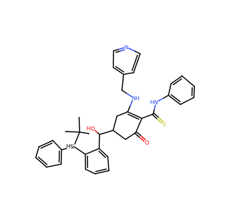 CC(C)(C)[SiH](c1ccccc1)c1ccccc1C(O)C1CC(=O)C(C(=S)Nc2ccccc2)=C(NCc2ccncc2)C1